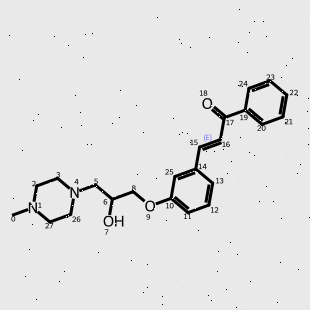 CN1CCN(CC(O)COc2cccc(/C=C/C(=O)c3ccccc3)c2)CC1